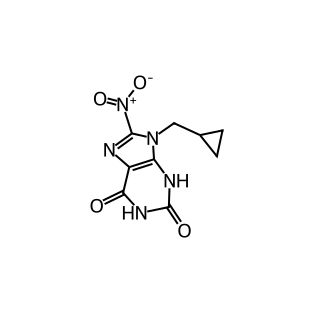 O=c1[nH]c(=O)c2nc([N+](=O)[O-])n(CC3CC3)c2[nH]1